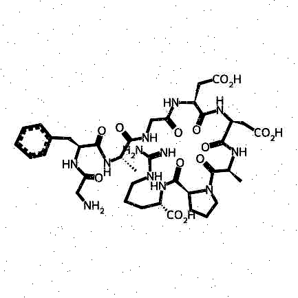 C[C@H](NC(=O)[C@H](Cc1ccccc1)NC(=O)CN)C(=O)NCC(=O)N[C@@H](CC(=O)O)C(=O)N[C@@H](CC(=O)O)C(=O)N[C@@H](C)C(=O)N1CCC[C@H]1C(=O)N[C@@H](CCCNC(=N)N)C(=O)O